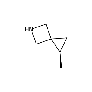 C[C@@H]1CC12CNC2